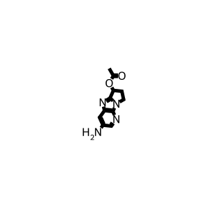 CC(=O)OC1CCn2c1nc1cc(N)cnc12